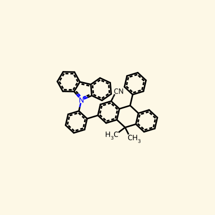 CC1(C)c2ccccc2C(c2ccccc2)c2c(C#N)cc(-c3ccccc3-n3c4ccccc4c4ccccc43)cc21